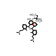 Cc1c(CCN(C)C)cccc1C(OC(c1ccccc1)c1cccc(CCN(C)C)c1C)c1ccccc1.O=C(O)CC(O)(CC(=O)O)C(=O)O